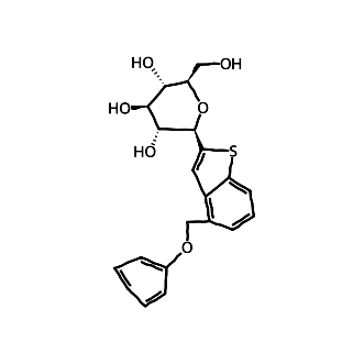 OC[C@H]1O[C@@H](c2cc3c(COc4ccccc4)cccc3s2)[C@H](O)[C@@H](O)[C@@H]1O